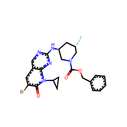 O=C(OCc1ccccc1)N1C[C@@H](F)C[C@H](Nc2ncc3cc(Br)c(=O)n(C4CC4)c3n2)C1